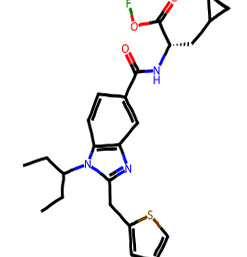 CCC(CC)n1c(Cc2cccs2)nc2cc(C(=O)N[C@@H](CC3CC3)C(=O)OF)ccc21